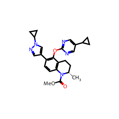 COC(=O)N1c2ccc(-c3cnn(C4CC4)c3)c(Oc3ncc(C4CC4)cn3)c2CC[C@@H]1C